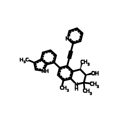 Cc1cc(-c2cccc3c(C)c[nH]c23)c(C#Cc2ccccn2)c2c1NC(C)(C)[C@H](O)[C@H]2C